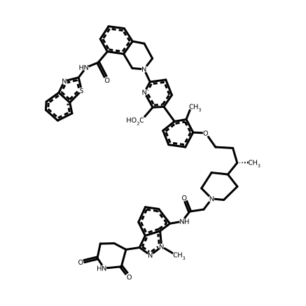 Cc1c(OCC[C@H](C)C2CCN(CC(=O)Nc3cccc4c(C5CCC(=O)NC5=O)nn(C)c34)CC2)cccc1-c1ccc(N2CCc3cccc(C(=O)Nc4nc5ccccc5s4)c3C2)nc1C(=O)O